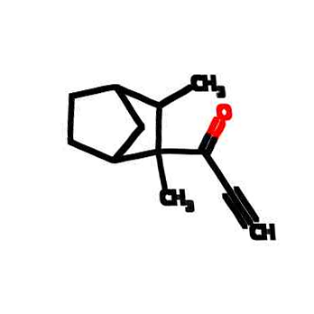 C#CC(=O)C1(C)C2CCC(C2)C1C